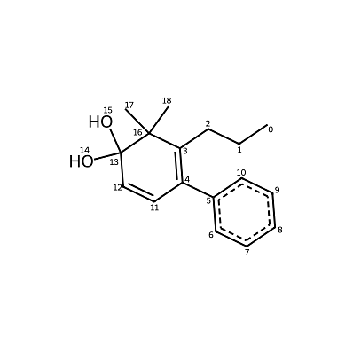 CCCC1=C(c2ccccc2)C=CC(O)(O)C1(C)C